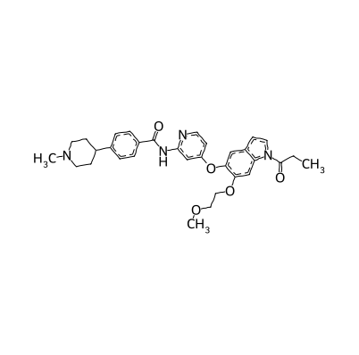 CCC(=O)n1ccc2cc(Oc3ccnc(NC(=O)c4ccc(C5CCN(C)CC5)cc4)c3)c(OCCOC)cc21